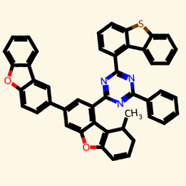 CC1CC=Cc2oc3cc(-c4ccc5oc6ccccc6c5c4)cc(-c4nc(-c5ccccc5)nc(-c5cccc6sc7ccccc7c56)n4)c3c21